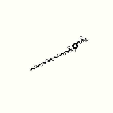 CCCOCCOCCOCCOCCOCCOCCC(=O)Nc1ccc(COC(=O)NC)cc1